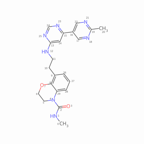 CNC(=O)N1CCOc2c(CCNc3cc(-c4cnc(C)nc4)ncn3)cccc21